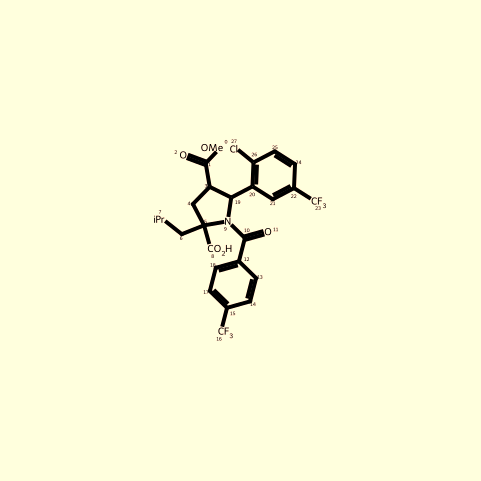 COC(=O)C1CC(CC(C)C)(C(=O)O)N(C(=O)c2ccc(C(F)(F)F)cc2)C1c1cc(C(F)(F)F)ccc1Cl